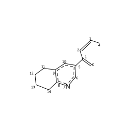 C=C(/C=C\C)c1cnc2c(c1)CCCC2